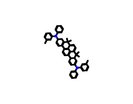 Cc1cccc(N(C2=CC3C(C=C2)c2ccc4c5c(ccc(c25)C3(C)C)C(C)(C)C2=C4C=CC(N(c3ccccc3)c3cccc(C)c3)C2)c2ccccc2)c1